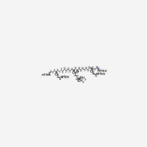 CCCCCC/C=C\CCC(CCCCCCCCCC(CCCCCCCCCC(CC/C=C\CCCCCC)OC/C=C\CCCCCC)OC(=O)CCCN(C)C)OC/C=C\CCCCCC